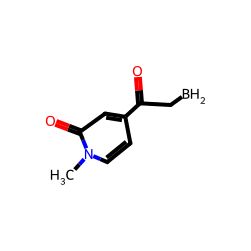 BCC(=O)c1ccn(C)c(=O)c1